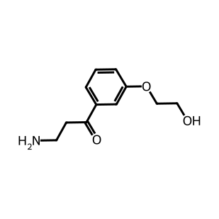 NCCC(=O)c1cccc(OCCO)c1